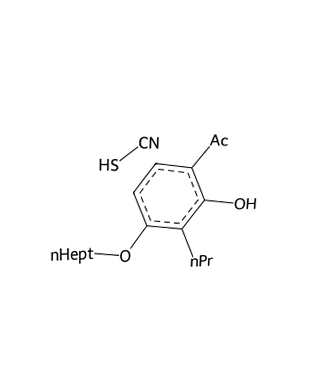 CCCCCCCOc1ccc(C(C)=O)c(O)c1CCC.N#CS